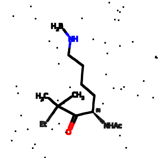 BNCCCC[C@H](NC(C)=O)C(=O)C(C)(C)CC